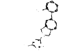 CCc1nnc(N2Cc3ccc(-c4ccccc4C#N)cc3C2)o1